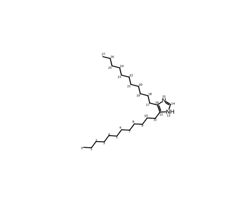 CCCCCCCCCCCCc1[nH]cnc1CCCCCCCCCCC